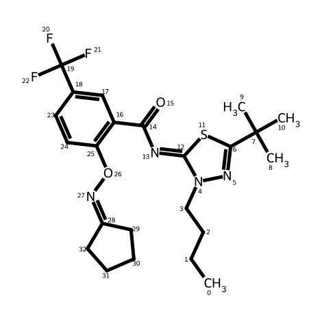 CCCCn1nc(C(C)(C)C)sc1=NC(=O)c1cc(C(F)(F)F)ccc1ON=C1CCCC1